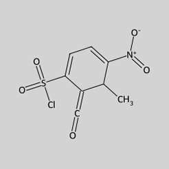 CC1C(=C=O)C(S(=O)(=O)Cl)=CC=C1[N+](=O)[O-]